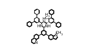 CC1C(c2ccccc2)=CC(c2ccccc2)=CC1[C@H]1NC(C2=CC(C3C=CC=CC3)CC(c3ccccc3)=C2)NC(c2cc(-c3ccc4cccnc4c3)cc(-c3ccc4ccn(C)c4c3)c2)N1